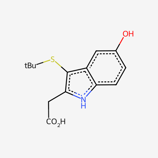 CC(C)(C)Sc1c(CC(=O)O)[nH]c2ccc(O)cc12